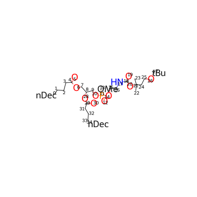 CCCCCCCCCCCCCC(=O)OCC(COP(=O)(OC)OCCNC(=O)OC(C)(C)CCOC(C)(C)C)OC(=O)CCCCCCCCCCCCC